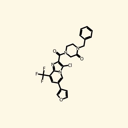 O=C1CN(C(=O)c2nc3c(C(F)(F)F)cc(-c4ccoc4)cn3c2Cl)CCN1Cc1ccccc1